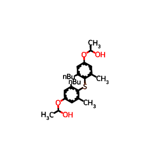 CCCCc1cc(OC(C)O)cc(C)c1Sc1c(C)cc(OC(C)O)cc1CCCC